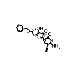 C#Cc1cn([C@@H]2O[C@H](CC(=O)OCc3ccccc3)[C@@H](O)[C@H]2O)c(=O)nc1N